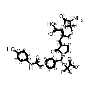 N[C@@H]1C(=O)N2C(C(=O)O)=C(/C=C3\CCN(Cc4cc[n+](CC(=O)Nc5ccc(O)cc5)cc4)C3=O)CS[C@H]12.O=C([O-])C(F)(F)F